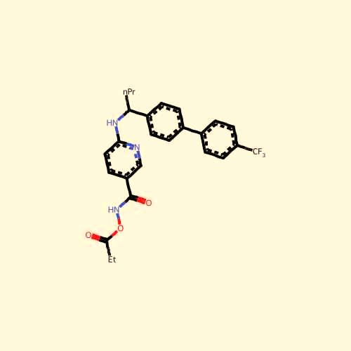 CCCC(Nc1ccc(C(=O)NOC(=O)CC)cn1)c1ccc(-c2ccc(C(F)(F)F)cc2)cc1